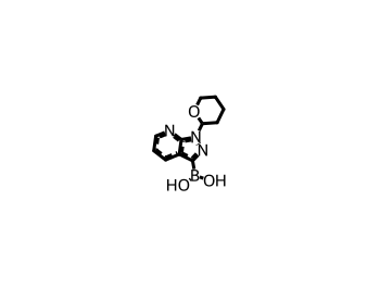 OB(O)c1nn(C2CCCCO2)c2ncccc12